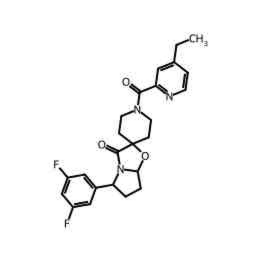 CCc1ccnc(C(=O)N2CCC3(CC2)OC2CCC(c4cc(F)cc(F)c4)N2C3=O)c1